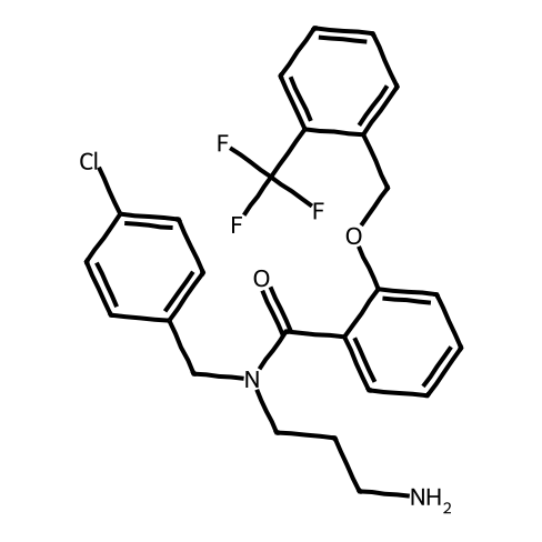 NCCCN(Cc1ccc(Cl)cc1)C(=O)c1ccccc1OCc1ccccc1C(F)(F)F